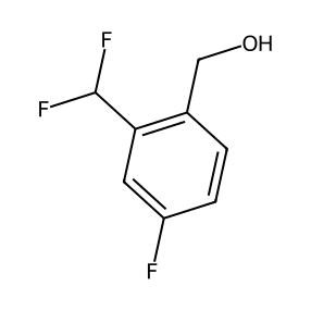 OCc1ccc(F)cc1C(F)F